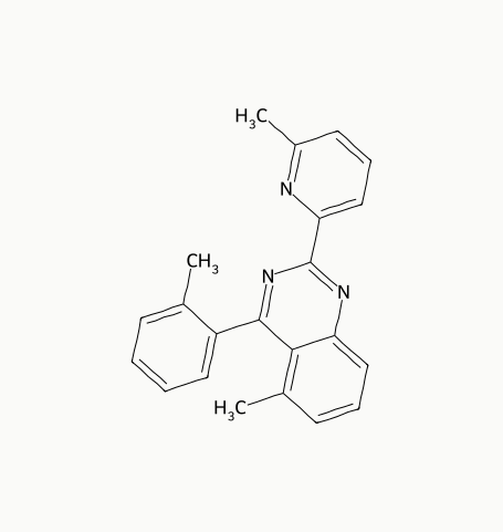 Cc1cccc(-c2nc(-c3ccccc3C)c3c(C)cccc3n2)n1